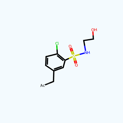 CC(=O)Cc1ccc(Cl)c(S(=O)(=O)NCCO)c1